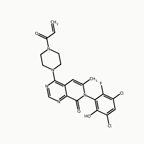 C=CC(=O)N1CCN(c2ncnc3c(=O)n(-c4c(O)c(Cl)cc(Cl)c4F)c(C)cc23)CC1